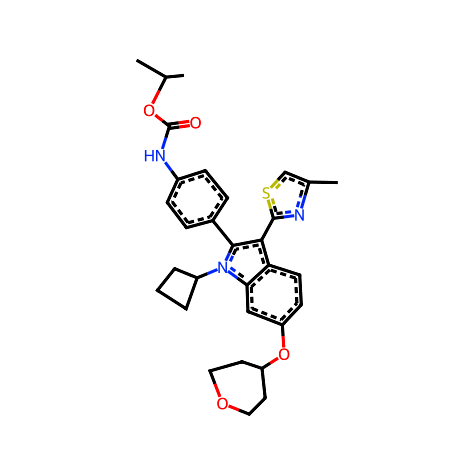 Cc1csc(-c2c(-c3ccc(NC(=O)OC(C)C)cc3)n(C3CCC3)c3cc(OC4CCOCC4)ccc23)n1